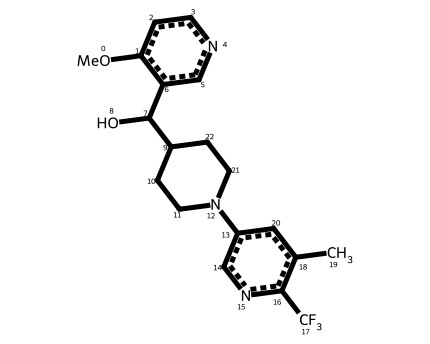 COc1ccncc1C(O)C1CCN(c2cnc(C(F)(F)F)c(C)c2)CC1